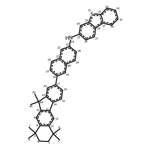 CC1(C)CCC(C)(C)c2cc3c(cc21)-c1ccc(-c2ccc4cc(Nc5ccc6c(c5)sc5ccccc56)ccc4c2)cc1C3(C)C